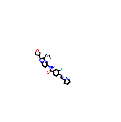 Cc1c(C2CCOC2)nc2ccc(NC(=O)c3ccc(/C=C/c4ccccn4)c(F)c3)cn12